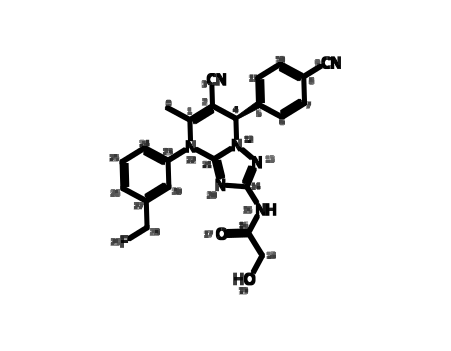 CC1=C(C#N)[C@@H](c2ccc(C#N)cc2)n2nc(NC(=O)CO)nc2N1c1cccc(CF)c1